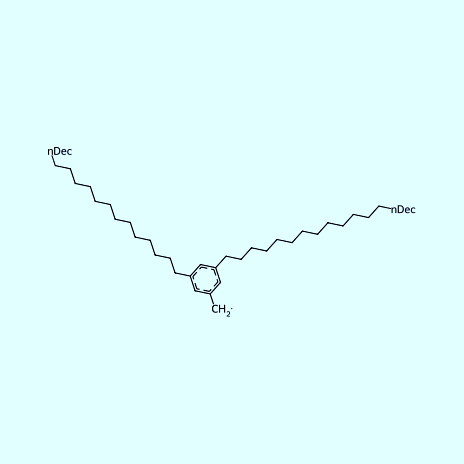 [CH2]c1cc(CCCCCCCCCCCCCCCCCCCCCCC)cc(CCCCCCCCCCCCCCCCCCCCCCC)c1